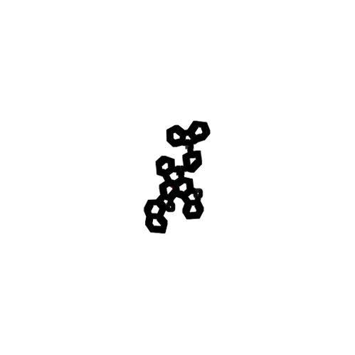 c1cc(N(c2ccc3c(c2)oc2ccccc23)c2ccccc2-c2ccc3oc4c5ccccc5ccc4c3c2)cc(-n2c3ccccc3c3ccccc32)c1